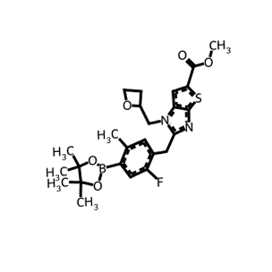 COC(=O)c1cc2c(nc(Cc3cc(C)c(B4OC(C)(C)C(C)(C)O4)cc3F)n2CC2CCO2)s1